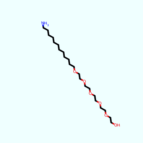 NCCCCCCCCCCCCOCCOCCOCCOCCOCCO